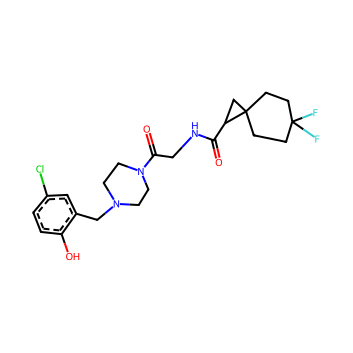 O=C(NCC(=O)N1CCN(Cc2cc(Cl)ccc2O)CC1)C1CC12CCC(F)(F)CC2